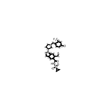 O=C(NS(=O)(=O)C1CC1)c1cc2cnn([C@@H]3CCN(Cc4ccc(Cl)cc4C(F)(F)F)C3)c2cc1CF